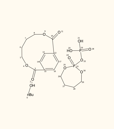 CCCCO.O=C1OCCCCOC(=O)c2ccc1cc2.O=P(O)(O)OP1(=O)OCCCCO1